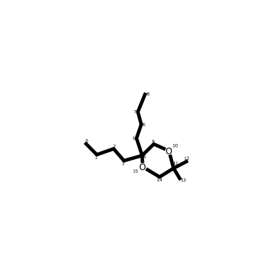 CCCCC1(CCCC)COC(C)(C)CO1